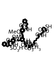 COc1cc2c(cc1OCc1cc(COc3cc4c(cc3OC)C(=O)N3c5ccccc5CC3C(S(=O)(=O)O)N4)cc(NC(=O)C(C)NC(=O)C(C)NC(=O)CCCCC(=O)NCCN3C(=O)CC(S)C3=O)c1)NCC1Cc3ccccc3N1C2=O